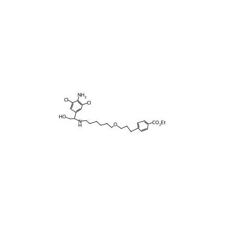 CCOC(=O)c1ccc(CCCOCCCCCCNC(CO)c2cc(Cl)c(N)c(Cl)c2)cc1